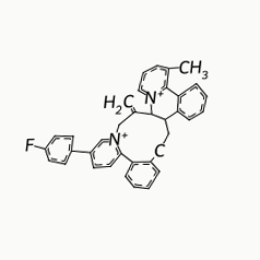 C=C1C[n+]2cc(-c3ccc(F)cc3)ccc2-c2ccccc2CCC2c3ccccc3-c3c(C)ccc[n+]3C12